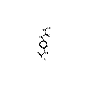 CC(=O)Nc1ccc(NC(=O)NS)cc1